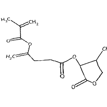 C=C(CCC(=O)OC1C(=O)OCC1C)OC(=O)C(=C)C